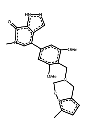 COc1cc(-c2cn(C)c(=O)c3[nH]ncc23)cc(OC)c1CN1CCn2c(C)ccc2C1